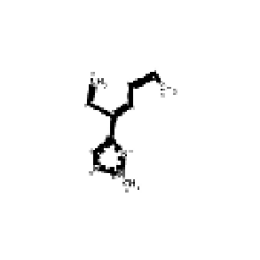 C=C/C(=C\C=C/C)c1cnn(C)n1